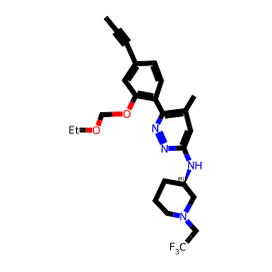 CC#Cc1ccc(-c2nnc(N[C@@H]3CCCN(CC(F)(F)F)C3)cc2C)c(OCOCC)c1